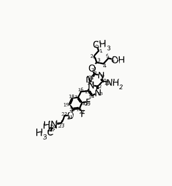 CCCC(CCO)Oc1nc(N)c2ncc(Cc3ccc(OCCNC)c(F)c3F)n2n1